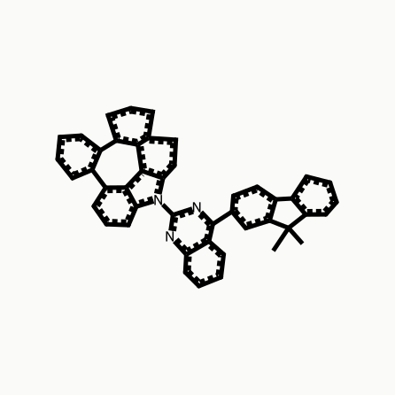 CC1(C)c2ccccc2-c2ccc(-c3nc(-n4c5cccc6c5c5c7c(cccc7ccc54)-c4ccccc4-6)nc4ccccc34)cc21